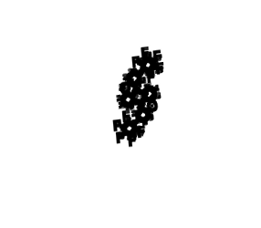 Fc1c(F)c(F)c(-c2ccc3oc4cccc5c4c(c3c2)c2cccc3oc4ccc(-c6c(F)c(F)c(F)c(F)c6F)cc4c5c32)c(F)c1F